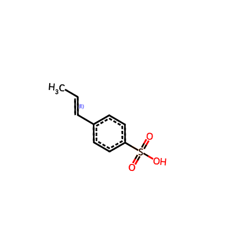 C/C=C/c1ccc(S(=O)(=O)O)cc1